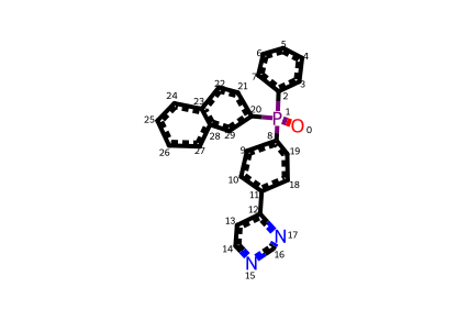 O=P(c1ccccc1)(c1ccc(-c2ccncn2)cc1)c1ccc2ccccc2c1